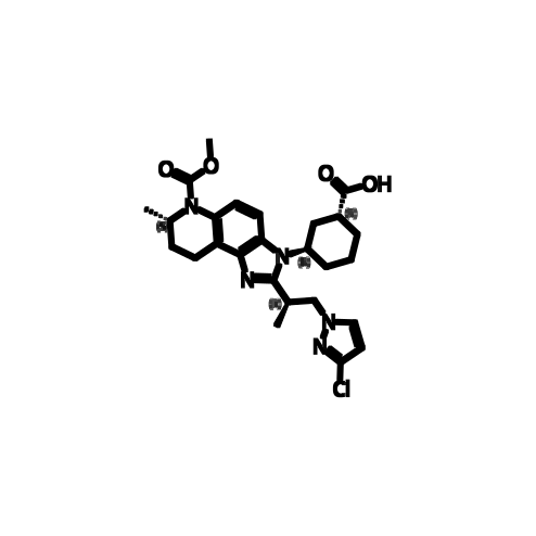 COC(=O)N1c2ccc3c(nc([C@H](C)Cn4ccc(Cl)n4)n3[C@@H]3CCC[C@@H](C(=O)O)C3)c2CC[C@@H]1C